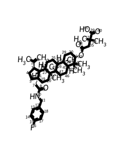 C=C(C)[C@@H]1CC[C@]2(CC(=O)NCc3ccc(F)cc3)CC[C@]3(C)[C@H](CC[C@@H]4[C@@]5(C)CC[C@H](OC(=O)CC(C)(C)C(=O)O)C(C)(C)[C@@H]5CC[C@]43C)[C@@H]12